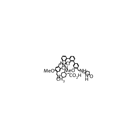 COc1cc(-c2cccc(-c3cccc4c3cnn4Cc3cc(OC)c(CN(C)[C@H]4CC[C@H](CC(=O)O)CC4)cc3C#N)c2Cl)ccc1CNC[C@@H]1CCC(=O)N1